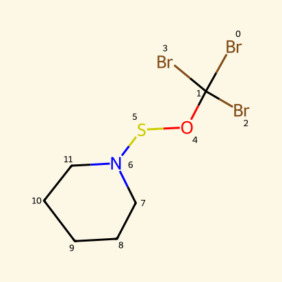 BrC(Br)(Br)OSN1CCCCC1